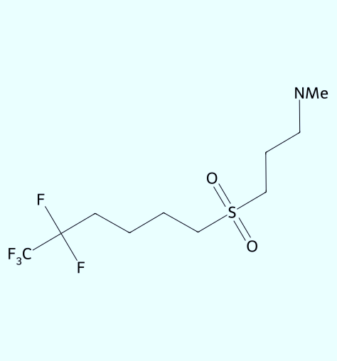 CNCCCS(=O)(=O)CCCCC(F)(F)C(F)(F)F